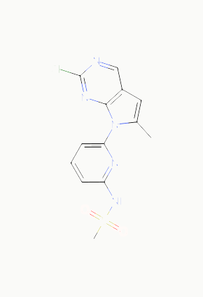 Cc1cc2cnc(Cl)nc2n1-c1cccc(NS(C)(=O)=O)n1